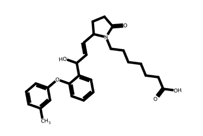 Cc1cccc(Oc2ccccc2C(O)C=CC2CCC(=O)N2CCCCCCC(=O)O)c1